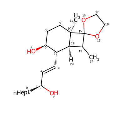 CCCCCCC[C@H](O)/C=C/[C@@H]1[C@@H](O)CC[C@]2(C)[C@H]1C(C)C21OCCO1